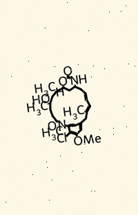 COc1cc2cc(c1Cl)N(C)C(=O)CC[C@](C)(O)CC(C)[C@@H]1CC(C/C=C/C=C(\C)C2)NC(=O)O1